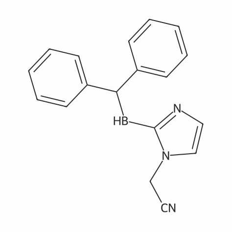 N#CCn1ccnc1BC(c1ccccc1)c1ccccc1